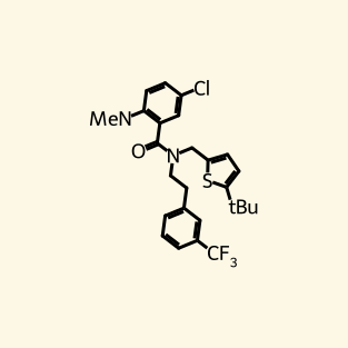 CNc1ccc(Cl)cc1C(=O)N(CCc1cccc(C(F)(F)F)c1)Cc1ccc(C(C)(C)C)s1